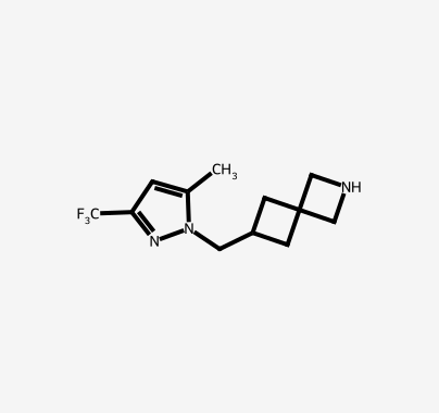 Cc1cc(C(F)(F)F)nn1CC1CC2(CNC2)C1